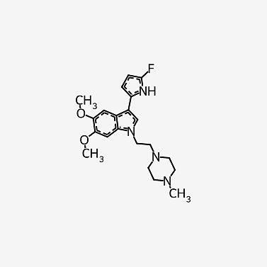 COc1cc2c(-c3ccc(F)[nH]3)cn(CCN3CCN(C)CC3)c2cc1OC